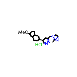 COc1ccc2cc(-c3cnnc(Cn4ccnc4C)c3)ccc2c1.Cl